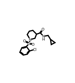 O=C(NCC1CC1)C1CCCN(S(=O)(=O)c2ccccc2Cl)C1